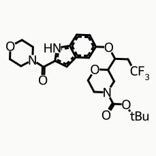 CC(C)(C)OC(=O)N1CCOC(C(CC(F)(F)F)Oc2ccc3[nH]c(C(=O)N4CCOCC4)cc3c2)C1